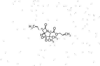 C=CCOC(=O)[C@@H]1N2C(=O)[C@@H](CC=C)[C@H]2S(=O)(=O)C1(C)C